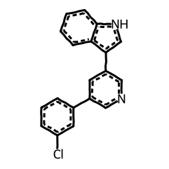 Clc1cccc(-c2cncc(-c3c[nH]c4ccccc34)c2)c1